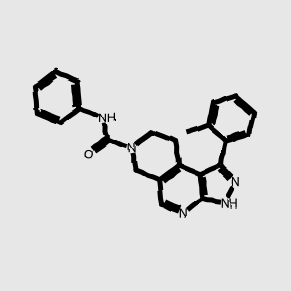 Cc1ccccc1-c1n[nH]c2ncc3c(c12)CCN(C(=O)Nc1ccccc1)C3